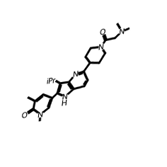 Cc1cc(-c2[nH]c3ccc(C4CCN(C(=O)CN(C)C)CC4)nc3c2C(C)C)cn(C)c1=O